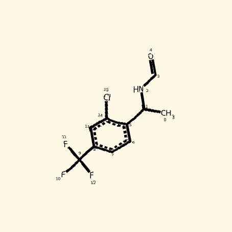 CC(NC=O)c1ccc(C(F)(F)F)cc1Cl